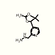 CC(C)(C)C(OC(N)=O)c1ccnc(CNN)c1